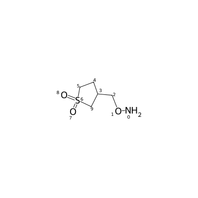 NOCC1CCS(=O)(=O)C1